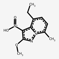 CCc1ccc(C)n2nc(OC)c([N+](=O)O)c12